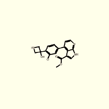 COC(=O)c1c[nH]c2nccc(-c3ccc(C4(O)CNC4)c(Cl)c3)c12